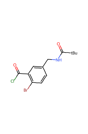 CC(C)(C)C(=O)NCc1ccc(Br)c(C(=O)Cl)c1